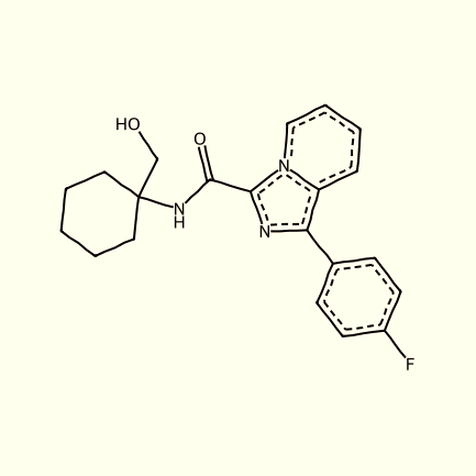 O=C(NC1(CO)CCCCC1)c1nc(-c2ccc(F)cc2)c2ccccn12